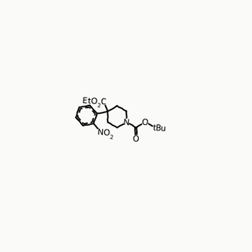 CCOC(=O)C1(c2ccccc2[N+](=O)[O-])CCN(C(=O)OC(C)(C)C)CC1